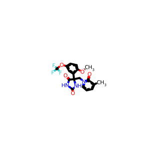 COc1ccc(OC(F)(F)F)cc1C1(Cn2cccc(C)c2=O)NC(=O)NC1=O